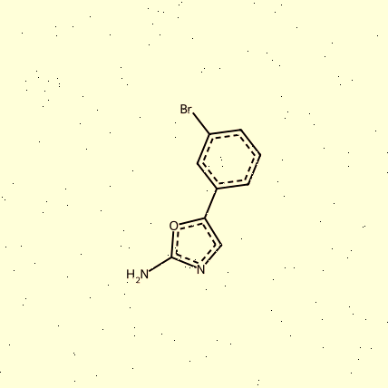 Nc1ncc(-c2cccc(Br)c2)o1